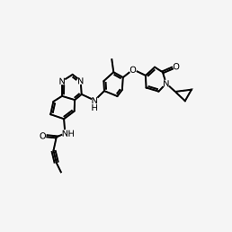 CC#CC(=O)Nc1ccc2ncnc(Nc3ccc(Oc4ccn(C5CC5)c(=O)c4)c(C)c3)c2c1